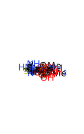 COC(COP(=O)(OC)OC1CC(n2cnc3c(=S)[nH]c(N)nc32)OC1COP(O)O)C(O)C(N)O